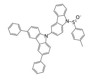 Cc1ccc([S+]([O-])n2c3ccccc3c3cc(-n4c5ccc(-c6ccccc6)cc5c5cc(-c6ccccc6)ccc54)ccc32)cc1